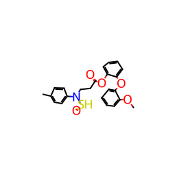 COc1ccccc1Oc1ccccc1OC(=O)CCN([SH]=O)c1ccc(C)cc1